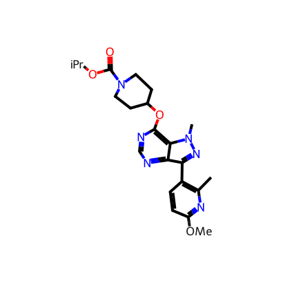 COc1ccc(-c2nn(C)c3c(OC4CCN(C(=O)OC(C)C)CC4)ncnc23)c(C)n1